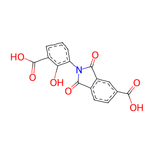 O=C(O)c1ccc2c(c1)C(=O)N(c1cccc(C(=O)O)c1O)C2=O